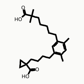 Cc1cc(C)c(CCCCC2(C(=O)O)CC2)cc1CCCCCC(C)(C)C(=O)O